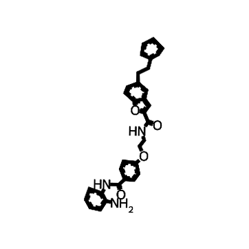 Nc1ccccc1NC(=O)c1ccc(OCCNC(=O)c2cc3cc(CCc4ccccc4)ccc3o2)cc1